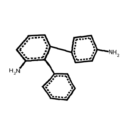 Nc1ccc(-c2cccc(N)c2-c2ccccc2)cc1